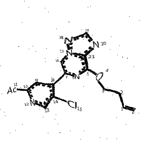 C=CCCOc1nc(-c2cc(C(C)=O)ncc2Cl)cn2ncnc12